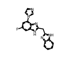 Fc1cc(-n2ccnc2)c2nc(Cc3nc4ccccc4[nH]3)[nH]c2c1